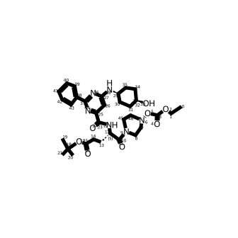 CCOC(=O)ON1CCN(C(=O)[C@H](CCC(=O)OC(C)(C)C)NC(=O)c2cc(N[C@H]3CC[C@H](O)CC3)nc(-c3ccccc3)n2)CC1